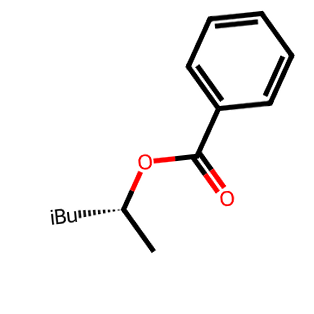 CCC(C)[C@@H](C)OC(=O)c1ccccc1